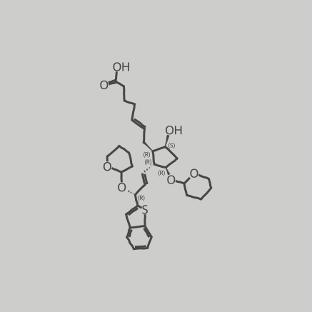 O=C(O)CCCC=CC[C@@H]1[C@@H](C=C[C@@H](OC2CCCCO2)c2cc3ccccc3s2)[C@H](OC2CCCCO2)C[C@@H]1O